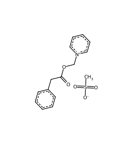 CS(=O)(=O)[O-].O=C(Cc1ccccc1)OC[n+]1ccccc1